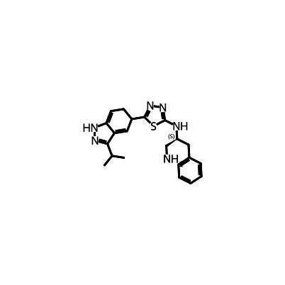 CC(C)c1n[nH]c2c1=CC(c1nnc(N[C@H](CN)Cc3ccccc3)s1)CC=2